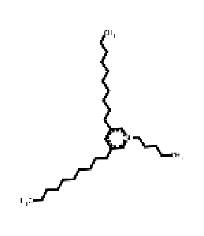 CCCCCCCCCCc1cc(CCCCCCCCCC)c[n+](CCCCC)c1